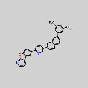 FC(F)(F)c1cc(-c2ccc3ccc(-c4ccc(-c5ccc6oc7ncccc7c6c5)nc4)cc3c2)cc(C(F)(F)F)c1